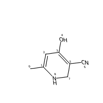 CC1=CC(O)=C(C#N)CN1